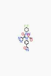 O=C(NC1CCC(F)(F)CC1)[C@@H](c1cncnc1)N(C(=O)[C@@H]1CO1)c1ccc(-c2cnco2)cc1